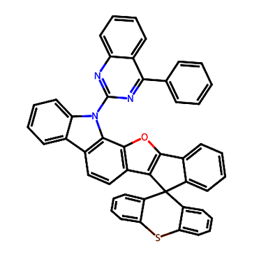 c1ccc(-c2nc(-n3c4ccccc4c4ccc5c6c(oc5c43)-c3ccccc3C63c4ccccc4Sc4ccccc43)nc3ccccc23)cc1